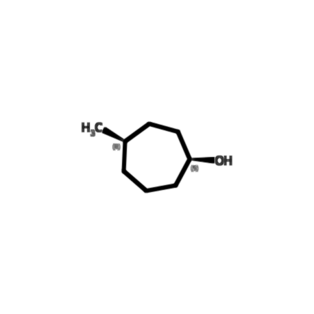 C[C@@H]1CCC[C@H](O)CC1